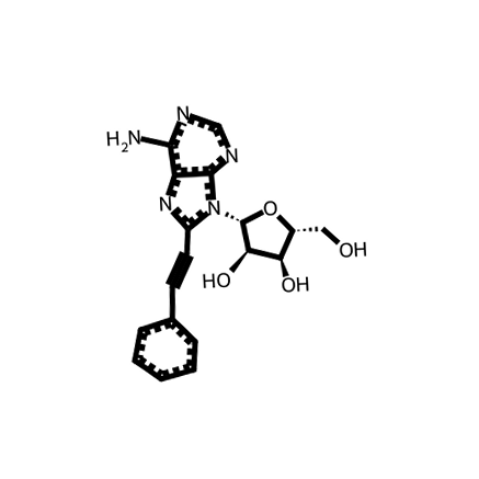 Nc1ncnc2c1nc(C#Cc1ccccc1)n2[C@@H]1O[C@H](CO)[C@@H](O)[C@H]1O